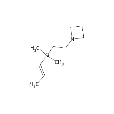 CC=C[Si](C)(C)CCN1CCC1